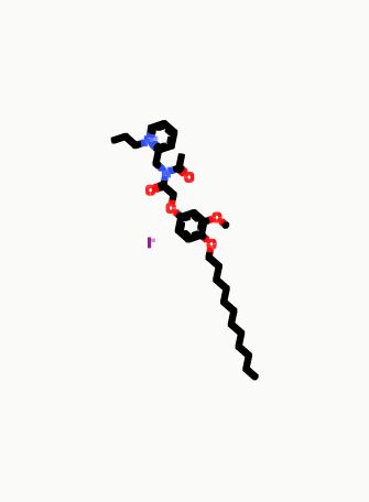 CCCCCCCCCCCCOc1ccc(OCC(=O)N(Cc2cccc[n+]2CCC)C(C)=O)cc1OC.[I-]